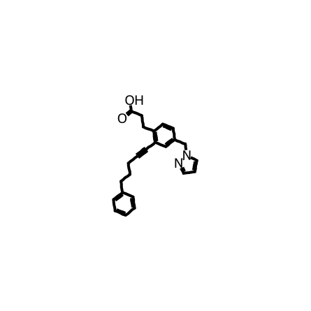 O=C(O)CCc1ccc(Cn2cccn2)cc1C#CCCCc1ccccc1